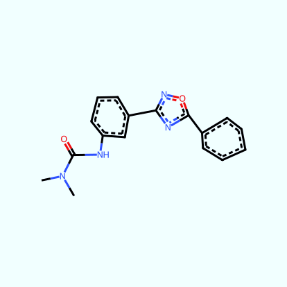 CN(C)C(=O)Nc1cccc(-c2noc(-c3ccccc3)n2)c1